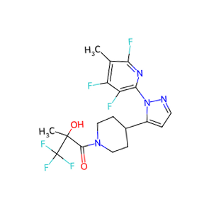 Cc1c(F)nc(-n2nccc2C2CCN(C(=O)C(C)(O)C(F)(F)F)CC2)c(F)c1F